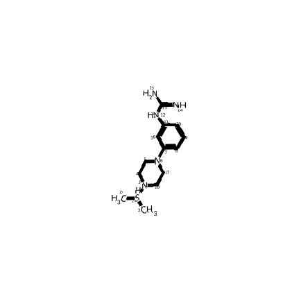 C[SH](C)N1CCN(c2cccc(NC(=N)N)c2)CC1